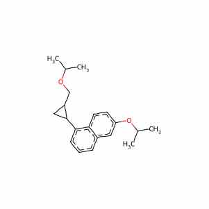 CC(C)OCC1CC1c1cccc2cc(OC(C)C)ccc12